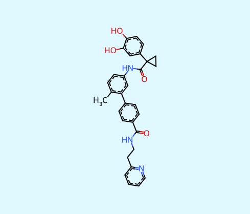 Cc1ccc(NC(=O)C2(c3ccc(O)c(O)c3)CC2)cc1-c1ccc(C(=O)NCCc2ccccn2)cc1